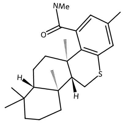 CNC(=O)c1cc(C)cc2c1[C@]1(C)CC[C@H]3C(C)(C)CCC[C@]3(C)[C@H]1CS2